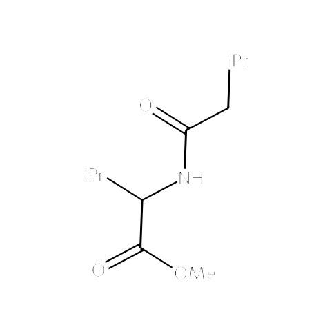 COC(=O)C(NC(=O)CC(C)C)C(C)C